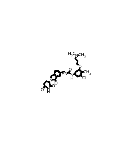 Cc1c(Cl)cc(NC(=O)NCc2ccc3c(c2)C(=O)N(C2CCC(=O)NC2=O)C3)cc1OCCCN(C)C